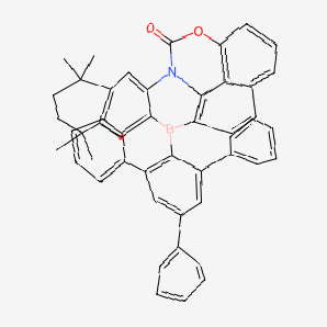 CC1(C)CCC(C)(C)c2cc3c(cc21)B(c1c(-c2ccccc2)cc(-c2ccccc2)cc1-c1ccccc1)c1ccc2cccc4c2c1N3C(=O)O4